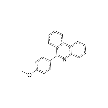 COc1ccc(-c2nc3ccccc3c3ccccc23)cc1